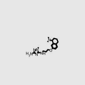 CN(C)C1CCCc2ccc(OCCCNc3nc(N)nn3C)cc21